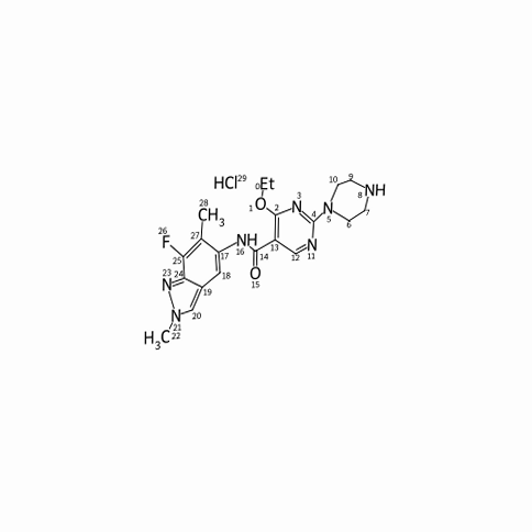 CCOc1nc(N2CCNCC2)ncc1C(=O)Nc1cc2cn(C)nc2c(F)c1C.Cl